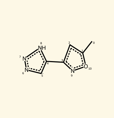 Cc1cc(-c2[c]nn[nH]2)no1